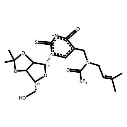 CC(C)=CCN(Cc1cn([C@@H]2O[C@H](CO)C3OC(C)(C)OC32)c(=S)[nH]c1=O)C(=O)C(F)(F)F